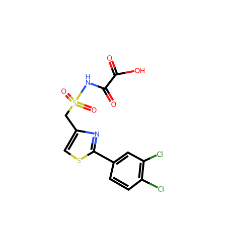 O=C(O)C(=O)NS(=O)(=O)Cc1csc(-c2ccc(Cl)c(Cl)c2)n1